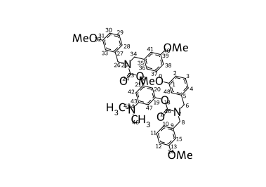 COc1cccc(CN(Cc2cccc(OC)c2)C(=O)Oc2cc(OC(=O)N(Cc3cccc(OC)c3)Cc3cccc(OC)c3)cc(N(C)C)c2)c1